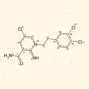 N=c1c(C(N)=O)cc(Cl)cn1CCc1ccc(Cl)c(Cl)c1